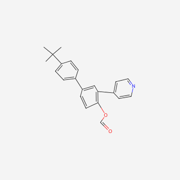 CC(C)(C)c1ccc(-c2ccc(OC=O)c(-c3ccncc3)c2)cc1